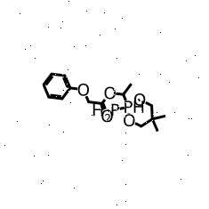 CC(OC(=O)COc1ccccc1)[PH]1(P)OCC(C)(C)CO1